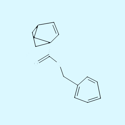 C[C@@H]1CC2C=C[C@]1(C(=O)OCc1ccccc1)C2